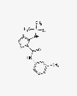 CCC(C)(C)Nc1scnc1C(=O)Nc1cccc(C)c1